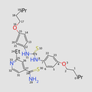 CC(C)CCOc1ccc(NC(=S)Nc2ccc(OCCC(C)C)cc2)cc1.CCc1cc(C(N)=S)ccn1